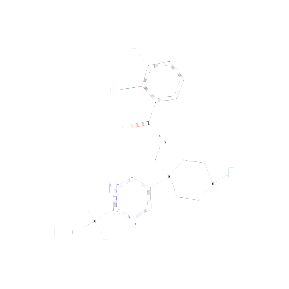 CC(F)(F)c1ncc(C2(CNC(=O)c3cccc(F)c3Cl)CCC(F)(F)CC2)cn1